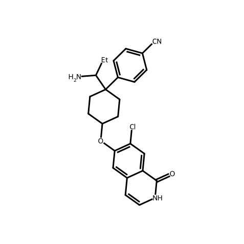 CCC(N)C1(c2ccc(C#N)cc2)CCC(Oc2cc3cc[nH]c(=O)c3cc2Cl)CC1